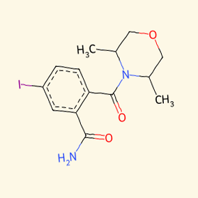 CC1COCC(C)N1C(=O)c1ccc(I)cc1C(N)=O